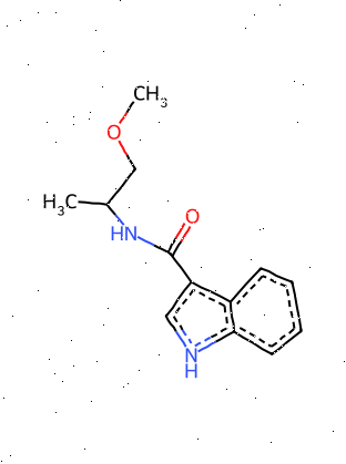 COCC(C)NC(=O)c1c[nH]c2ccccc12